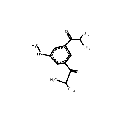 CNc1cc(C(=O)C(C)C)cc(C(=O)C(C)C)c1